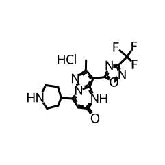 Cc1nn2c(C3CCNCC3)cc(=O)[nH]c2c1-c1nc(C(F)(F)F)no1.Cl